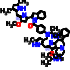 COC1=CC(c2[nH]c3ccccc3c2CN2CCC(NC(C)C)CC2)=N/C1=C\c1[nH]c(C)cc1CN(c1ccc(C(=O)n2c(C3=N/C(=C\c4[nH]c(C)cc4C)C(OC)=C3)cc3ccccc32)cc1)C(C)C